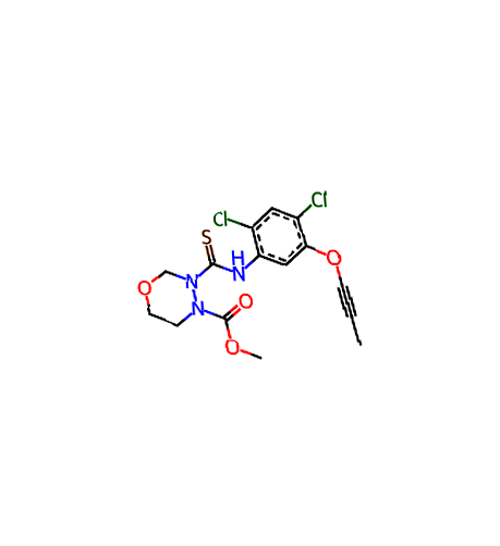 CC#COc1cc(NC(=S)N2COCCN2C(=O)OC)c(Cl)cc1Cl